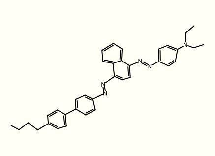 CCCCc1ccc(-c2ccc(N=Nc3ccc(N=Nc4ccc(N(CC)CC)cc4)c4ccccc34)cc2)cc1